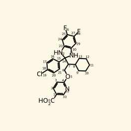 O=C(O)c1ccc(OCC(C2CCCCC2)C2(c3ccc(Cl)cc3)Nc3cc(F)c(F)cc3N2)nc1